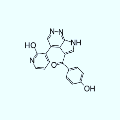 O=C(c1ccc(O)cc1)c1c[nH]c2nncc(-c3cccnc3O)c12